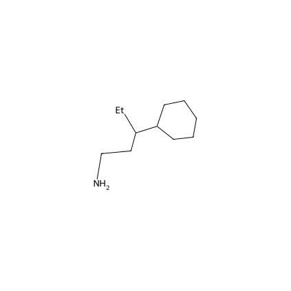 CCC(CCN)C1CCCCC1